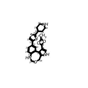 CC1OC(c2c[nH]c3c2-c2cc(-c4csc(C5CCNCC5)n4)ccc2NCOC3)O1